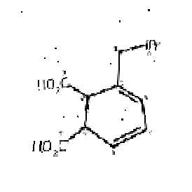 CC(C)CC1=CC=CC(C(=O)O)C1C(=O)O